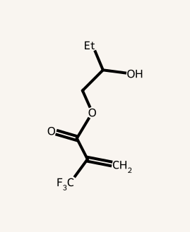 C=C(C(=O)OCC(O)CC)C(F)(F)F